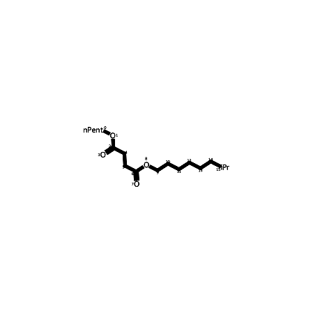 CCCCCOC(=O)CCC(=O)OCCCCCCC(C)C